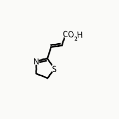 O=C(O)C=CC1=NCCS1